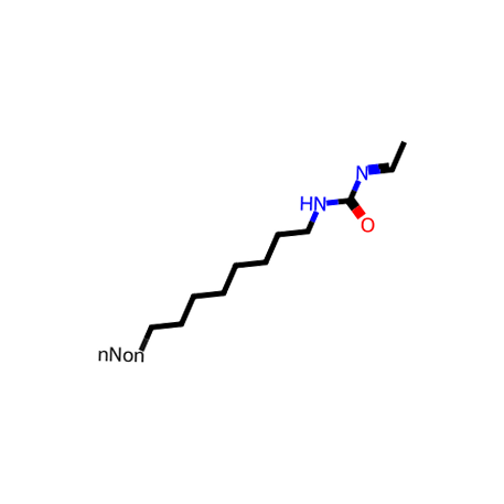 CC=NC(=O)NCCCCCCCCCCCCCCCCC